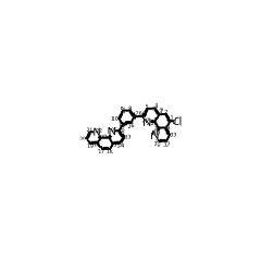 Clc1cc2ccc(-c3cccc(-c4ccc5ccc6cccnc6c5n4)c3)nc2c2ncccc12